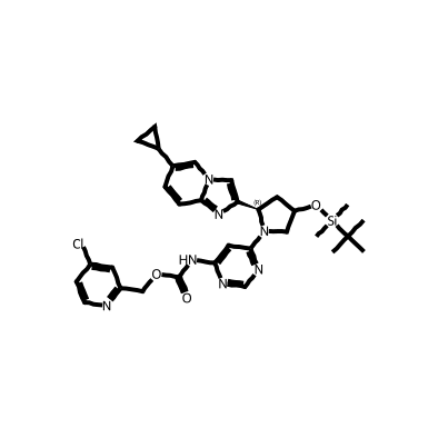 CC(C)(C)[Si](C)(C)OC1C[C@H](c2cn3cc(C4CC4)ccc3n2)N(c2cc(NC(=O)OCc3cc(Cl)ccn3)ncn2)C1